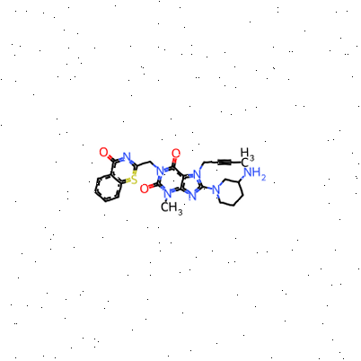 CC#CCn1c(N2CCCC(N)C2)nc2c1c(=O)n(Cc1nc(=O)c3ccccc3s1)c(=O)n2C